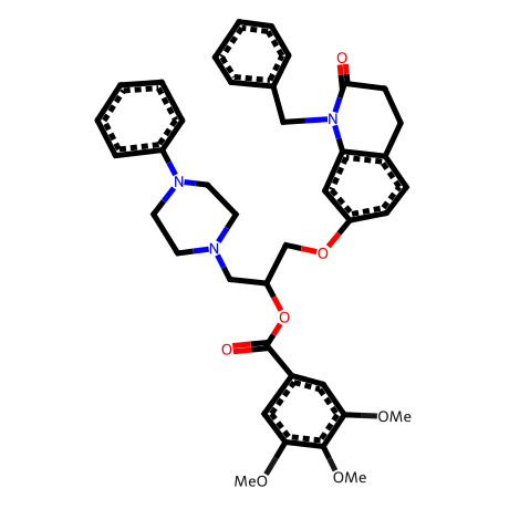 COc1cc(C(=O)OC(COc2ccc3c(c2)N(Cc2ccccc2)C(=O)CC3)CN2CCN(c3ccccc3)CC2)cc(OC)c1OC